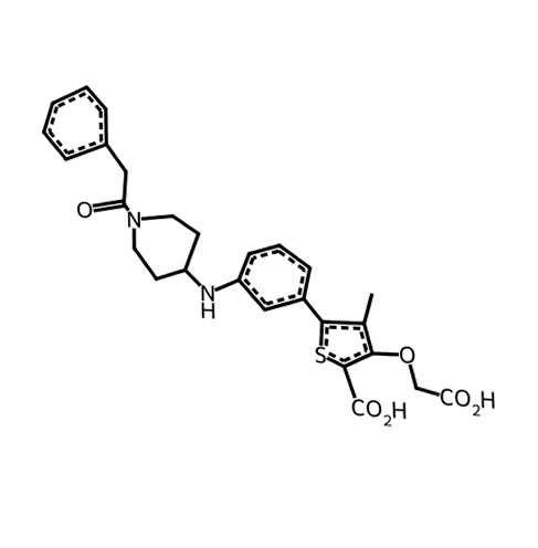 Cc1c(-c2cccc(NC3CCN(C(=O)Cc4ccccc4)CC3)c2)sc(C(=O)O)c1OCC(=O)O